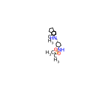 Cc1c(NC[C@H]2CC[C@H](NS(=O)(=O)C(C)C)CC2)ccc2c1CCC2